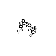 COc1ccc(F)c(-n2c(=O)n(CC3CCC(NC(=O)c4cc(Cl)cnc4C(F)(F)F)CC3)c3cccnc32)c1